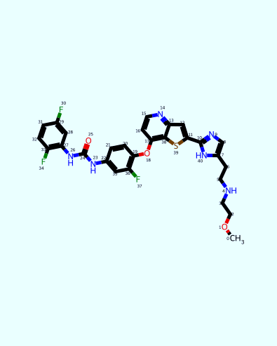 COCCNCCc1cnc(-c2cc3nccc(Oc4ccc(NC(=O)Nc5cc(F)ccc5F)cc4F)c3s2)[nH]1